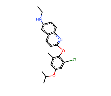 CCNc1ccc2nc(Oc3c(C)cc(OC(C)C)cc3Cl)ccc2c1